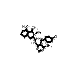 C=C1c2c(C)cccc2C=C(CNc2ncnc(N)c2C(=N)c2ccc(Cl)cc2)N1C(C)C